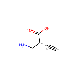 C#C[C@H](CN)C(=O)O